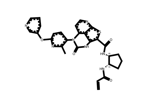 C=CC(=O)N[C@H]1CCC[C@H]1NC(=O)c1sc2nccc3c2c1NC(=O)N3c1ccc(Oc2cccnc2)nc1C